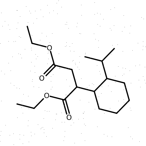 CCOC(=O)CC(C(=O)OCC)C1CCCCC1C(C)C